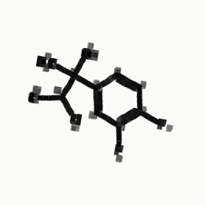 CC(O)(c1ccc(F)c(F)c1)C(Cl)Cl